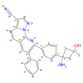 CC1(O)CC(N)(c2ccc(-c3nc4c(cnc5c(C#N)cnn54)cc3-c3ccccc3)cc2)C1